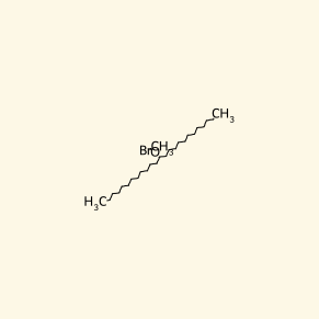 CBr.CCCCCCCCCCCCC(=O)CCCCCCCCCCCC